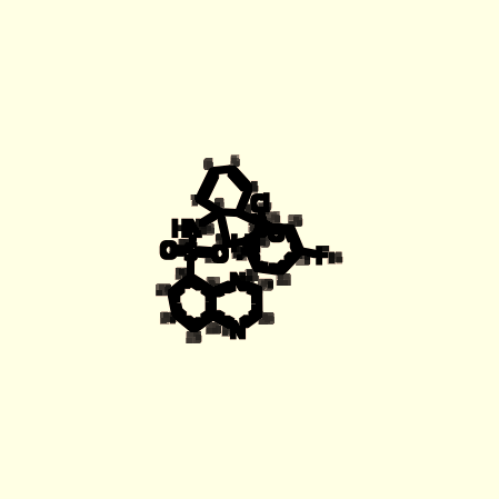 NC(=O)C1C=CC=CC1(Cc1ccc(F)cc1Cl)NS(=O)(=O)c1cccc2nccnc12